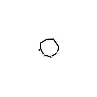 C1CCOSSNC1